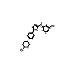 C[C@H]1CC[C@H](c2ccc(-c3cnc(Nc4cccc(O)c4)o3)cc2)CC1